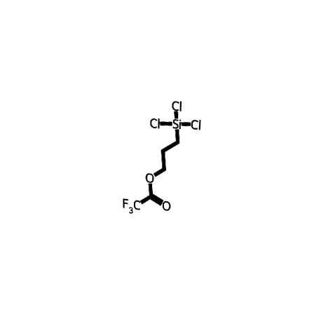 O=C(OCCC[Si](Cl)(Cl)Cl)C(F)(F)F